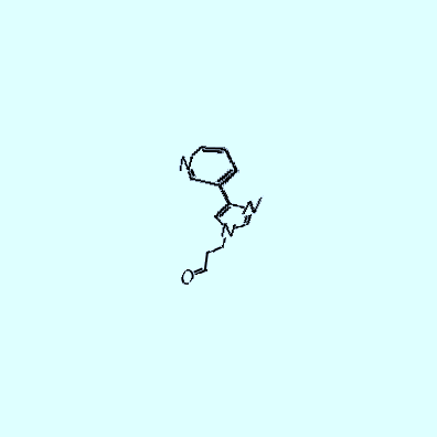 O=CCCn1cnc(-c2cccnc2)c1